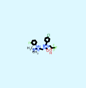 CN(C)c1nc(Cn2nc(-c3ccc(Cl)cc3)n(CC(O)C(F)(F)F)c2=O)nn1-c1cccc(F)c1